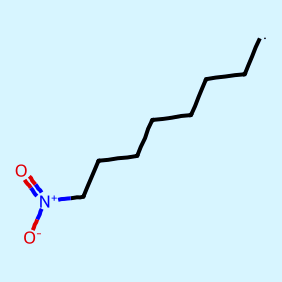 [CH2]CCCCCCC[N+](=O)[O-]